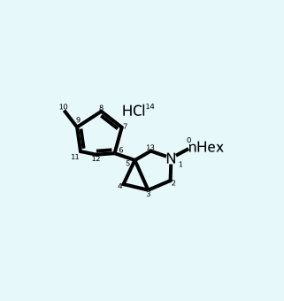 CCCCCCN1CC2CC2(c2ccc(C)cc2)C1.Cl